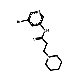 O=C(CCN1CCCCC1)Nc1cncc(Br)c1